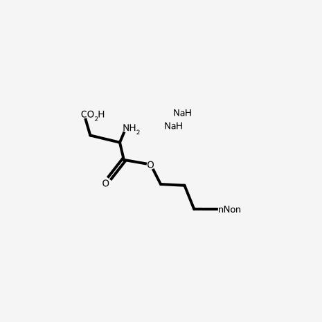 CCCCCCCCCCCCOC(=O)C(N)CC(=O)O.[NaH].[NaH]